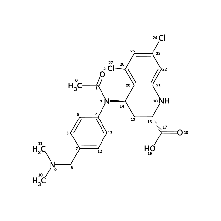 CC(=O)N(c1ccc(CN(C)C)cc1)[C@@H]1C[C@@H](C(=O)O)Nc2cc(Cl)cc(Cl)c21